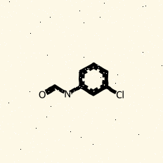 O=C[N]c1cccc(Cl)c1